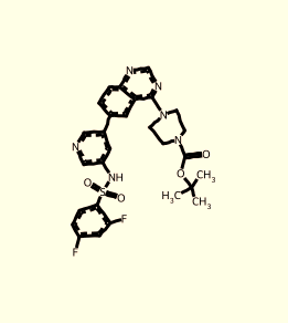 CC(C)(C)OC(=O)N1CCN(c2ncnc3ccc(-c4cncc(NS(=O)(=O)c5ccc(F)cc5F)c4)cc23)CC1